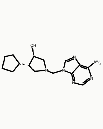 Nc1ncnc2c1ncn2CN1C[C@H](C2CCCC2)[C@@H](O)C1